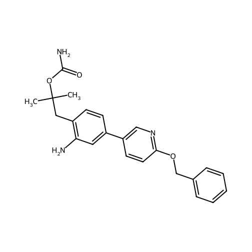 CC(C)(Cc1ccc(-c2ccc(OCc3ccccc3)nc2)cc1N)OC(N)=O